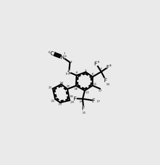 [C-]#[N+]CSc1cc(C(F)(F)F)c(C)c(C(F)(F)F)c1-c1ccccc1